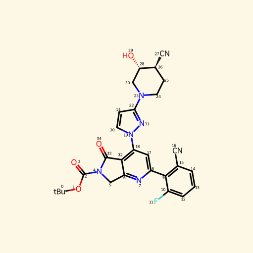 CC(C)(C)OC(=O)N1Cc2nc(-c3c(F)cccc3C#N)cc(-n3ccc(N4CC[C@H](C#N)[C@@H](O)C4)n3)c2C1=O